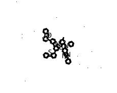 Cc1cc2c3c(c1)-n1c4ccc(-c5cccc6c5oc5ccccc56)cc4c4cc(-c5cccc6c5sc5ccccc56)cc(c41)B3c1cc3nn(-c4ccccc4)nc3cc1N2c1ccccc1